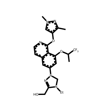 CCN1CN(c2cc(OC(C)C(F)(F)F)c3c(Oc4cn(C)nc4C)nccc3c2)N=C1CO